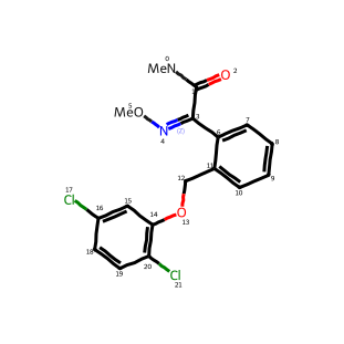 CNC(=O)/C(=N\OC)c1ccccc1COc1cc(Cl)ccc1Cl